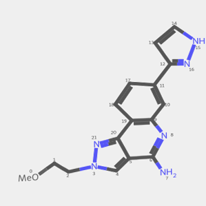 COCCn1cc2c(N)nc3cc(-c4cc[nH]n4)ccc3c2n1